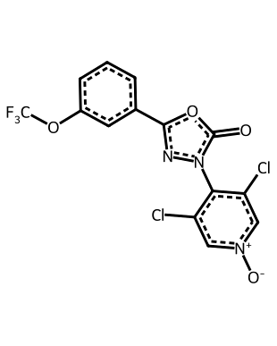 O=c1oc(-c2cccc(OC(F)(F)F)c2)nn1-c1c(Cl)c[n+]([O-])cc1Cl